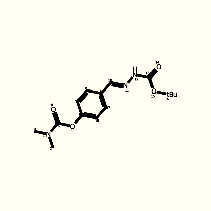 CN(C)C(=O)Oc1ccc(C=NNC(=O)OC(C)(C)C)cc1